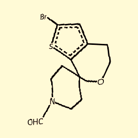 O=CN1CCC2(CC1)OCCc1cc(Br)sc12